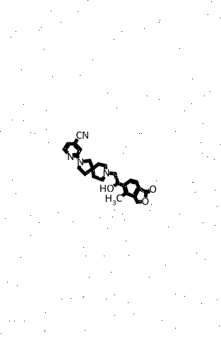 Cc1c(C(O)CN2CCC3(CC2)CCN(c2cc(C#N)ccn2)C3)ccc2c1COC2=O